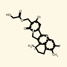 CCc1cc2n(c(=O)c1COC(=O)CO)Cc1c-2nc2cc(F)c(C)c3c2c1[C@@H](N)CC3